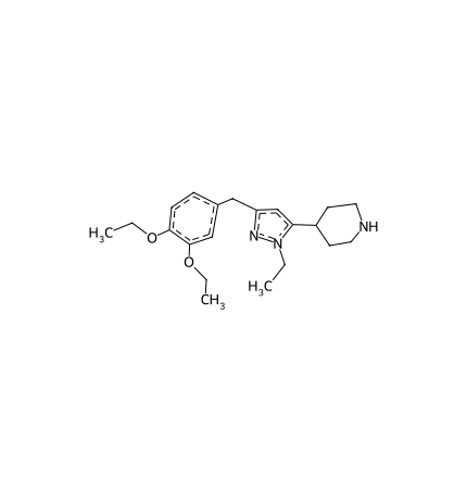 CCOc1ccc(Cc2cc(C3CCNCC3)n(CC)n2)cc1OCC